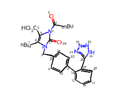 CCCCC(=O)n1c(C(=O)O)c(CCCC)n(Cc2ccc(-c3ccccc3-c3nnn[nH]3)cc2)c1=O